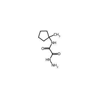 CC1(NC(=O)C(=O)NN)CCCC1